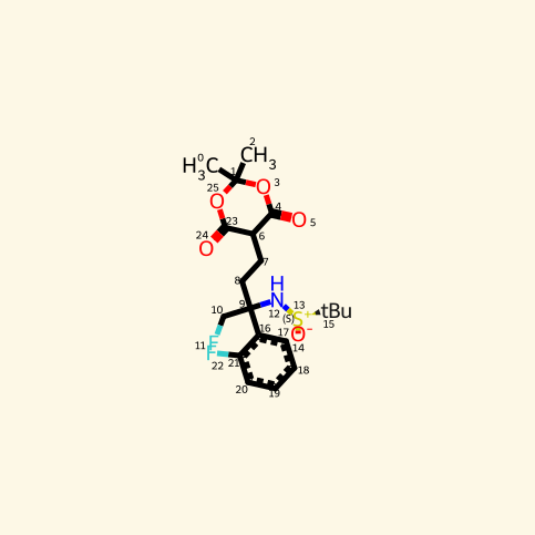 CC1(C)OC(=O)C(CCC(CF)(N[S@+]([O-])C(C)(C)C)c2ccccc2F)C(=O)O1